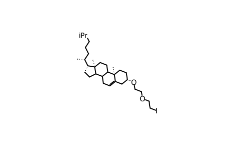 CC(C)CCC[C@@H](C)[C@H]1CCC2C3CC=C4C[C@@H](OCCOCCI)CC[C@]4(C)C3CC[C@@]21C